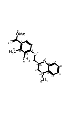 COC(=O)c1ccc(OC[C@@H]2CN(C)c3ccccc3O2)c(C)c1C